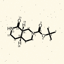 CC(C)(C)OC(=O)N1CC[C@@H]2CCNC(=O)[C@@H]2C1